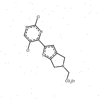 CCOC(=O)CN1Cc2cc(-c3nc(Cl)ncc3Cl)sc2C1